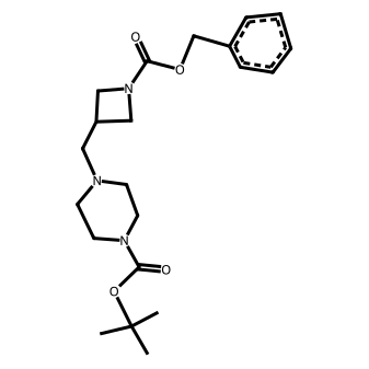 CC(C)(C)OC(=O)N1CCN(CC2CN(C(=O)OCc3ccccc3)C2)CC1